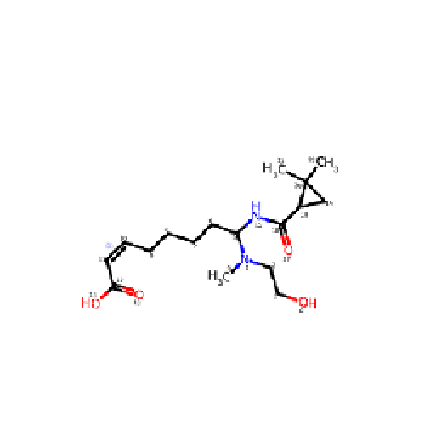 CN(CCO)C(CCCC/C=C\C(=O)O)NC(=O)C1CC1(C)C